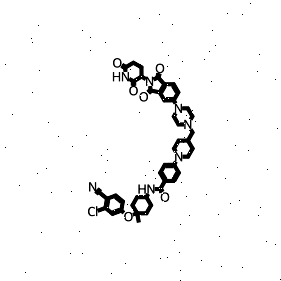 CC1(Oc2ccc(C#N)c(Cl)c2)CCC(NC(=O)c2ccc(N3CCC(CN4CCN(c5ccc6c(c5)C(=O)N(C5CCC(=O)NC5=O)C6=O)CC4)CC3)cc2)CC1